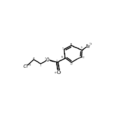 O=C(OCCCl)c1ccc(Br)cc1